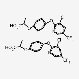 CC(Oc1ccc(Oc2ncc(C(F)(F)F)cc2Cl)cc1)C(=O)O.CC(Oc1ccc(Oc2ncc(C(F)(F)F)cc2Cl)cc1)C(=O)O